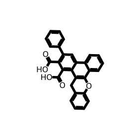 O=C(O)c1c(-c2ccccc2)cc2c(c3c(c4ccccc42)Oc2ccccc2C3)c1C(=O)O